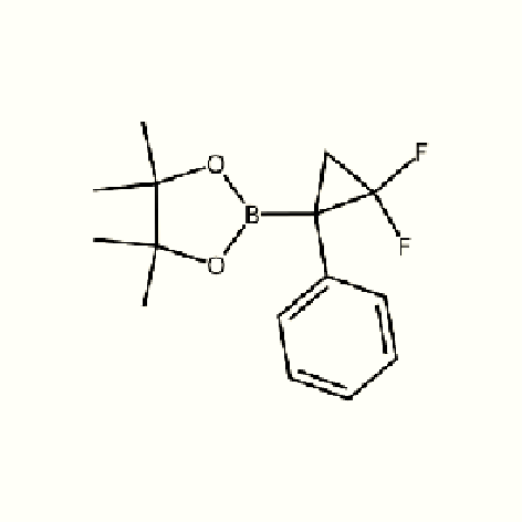 CC1(C)OB(C2(c3ccccc3)CC2(F)F)OC1(C)C